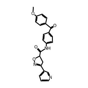 COc1ccc(C(=O)c2ccc(NC(=O)C3CC(c4cccnc4)=NO3)cc2)cc1